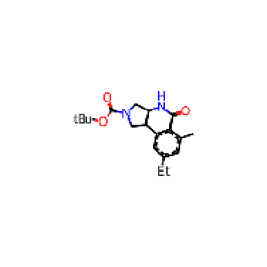 CCc1cc(C)c2c(c1)C1CN(C(=O)OC(C)(C)C)CC1NC2=O